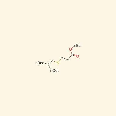 CCCCCCCCCCC(CCCCCCCC)CSCCC(=O)OCCCC